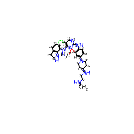 CNCCNC1CCN(c2ccc(Nc3ncc(Cl)c(Nc4cccc5c4NCC5)n3)c(OC)c2)CC1